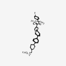 CCOC(=O)CC1CCC(c2ccc(-c3ccc4nc(C(=O)NC(C)(C)c5ccc(F)cc5)cn4c3)cc2)CC1